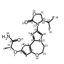 C[C@H](Oc1cc2c(s1)-c1nc(N3C(=O)OC[C@H]3C(F)F)cn1CCO2)C(N)=O